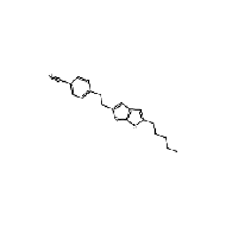 CCCCCc1cc2cc(CCc3ccc(C#N)cc3)sc2s1